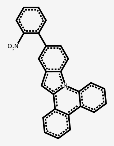 O=[N+]([O-])c1ccccc1-c1ccc2c(c1)cc1c3ccccc3c3ccccc3n21